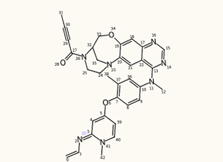 C=C/N=c1/cc(Oc2ccc(N(C)c3ncnc4cc5c(cc34)N3CCN(C(=O)C#CC)C(CO5)C3)cc2C)ccn1C